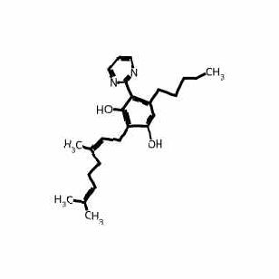 CCCCCc1cc(O)c(CC=C(C)CCC=C(C)C)c(O)c1-c1ncccn1